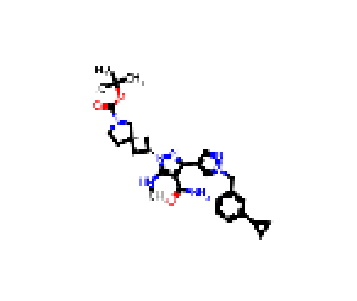 CNc1c(C(N)=O)c(-c2cnn(Cc3cccc(C4CC4)c3)c2)nn1[C@H]1C[C@@]2(CCN(C(=O)OC(C)(C)C)C2)C1